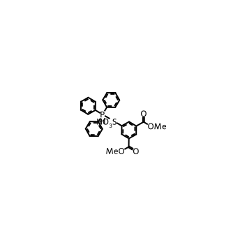 COC(=O)c1cc(C(=O)OC)cc(S(=O)(=O)O)c1.C[PH](c1ccccc1)(c1ccccc1)c1ccccc1